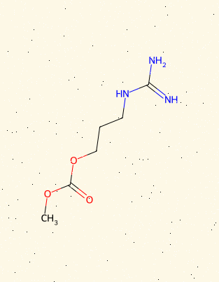 COC(=O)OCCCNC(=N)N